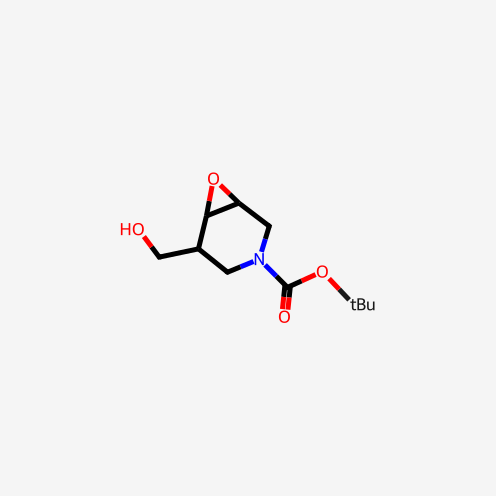 CC(C)(C)OC(=O)N1CC(CO)C2OC2C1